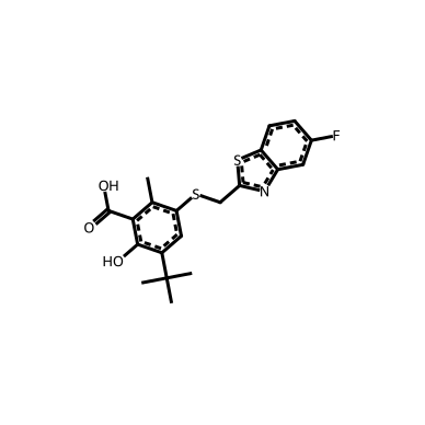 Cc1c(SCc2nc3cc(F)ccc3s2)cc(C(C)(C)C)c(O)c1C(=O)O